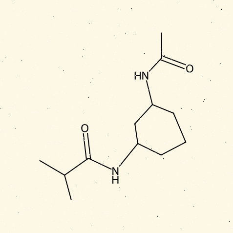 CC(=O)NC1CCCC(NC(=O)C(C)C)C1